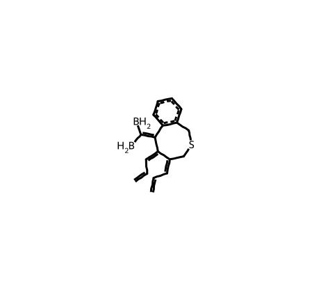 BC(B)=C1C(=C/C=C)/C(=C\C=C)CSCc2ccccc21